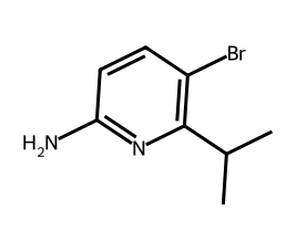 CC(C)c1nc(N)ccc1Br